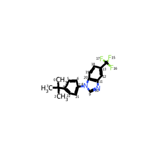 CC(C)(C)c1ccc(-n2cnc3cc(C(F)(F)F)ccc32)cc1